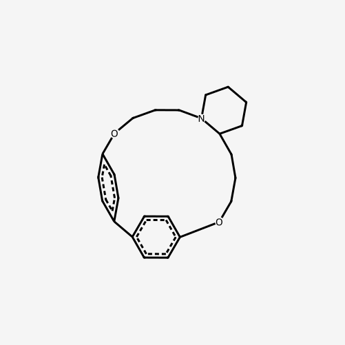 c1cc2ccc1OCCCC1CCCCN1CCCOc1ccc-2cc1